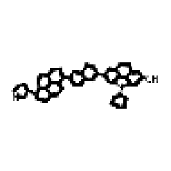 N#Cc1cc2ccc3cc(-c4ccc5cc(-c6ccc7ccc8c(-c9cccnc9)ccc9ccc6c7c98)ccc5c4)cc4c3c2c(c1)n4-c1ccccc1